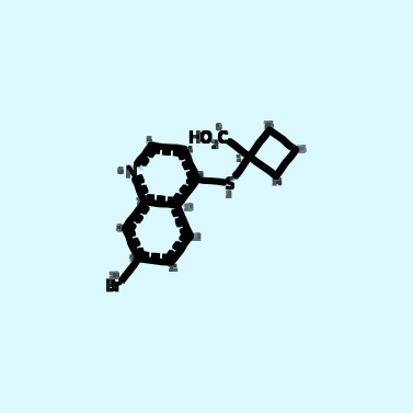 O=C(O)C1(Sc2ccnc3cc(Br)ccc23)CCC1